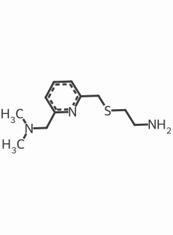 CN(C)Cc1cccc(CSCCN)n1